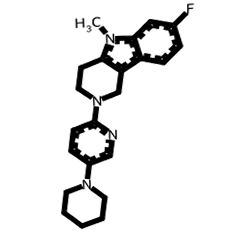 Cn1c2c(c3ccc(F)cc31)CN(c1ccc(N3CCCCC3)cn1)CC2